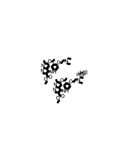 CCOC(=O)c1cnc2nc(C)c(OCC)cc2c1Nc1ccc(OCCN(CC)CC)cc1.CCOC(=O)c1cnc2nc(C)c(OCC)cc2c1Nc1ccc(OCCN(CC)CC)cc1.Cl.Cl.Cl